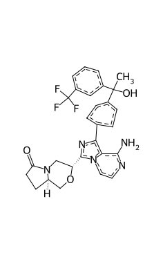 CC(O)(c1ccc(-c2nc([C@H]3CN4C(=O)CC[C@@H]4CO3)n3ccnc(N)c23)cc1)c1cccc(C(F)(F)F)c1